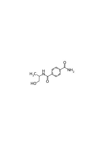 CC(CO)NC(=O)c1ccc(C(N)=O)cc1